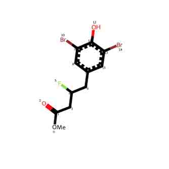 COC(=O)CC(F)Cc1cc(Br)c(O)c(Br)c1